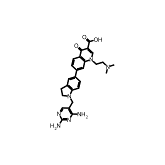 CN(C)CCn1cc(C(=O)O)c(=O)c2ccc(-c3ccc4c(c3)CCN4Cc3cnc(N)nc3N)cc21